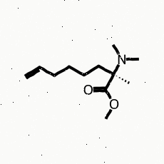 C=CCCCC[C@](C)(C(=O)OC)N(C)C